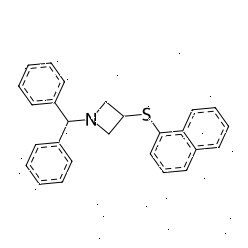 c1ccc(C(c2ccccc2)N2CC(Sc3cccc4ccccc34)C2)cc1